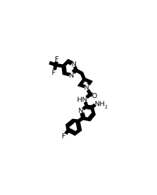 CC(F)(F)c1cnc(CC2CN(C(=O)Nc3nc(-c4ccc(F)cc4)ccc3N)C2)nc1